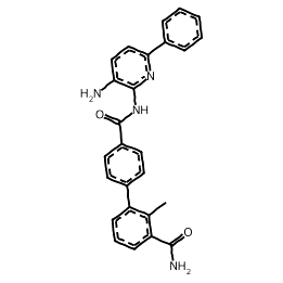 Cc1c(C(N)=O)cccc1-c1ccc(C(=O)Nc2nc(-c3ccccc3)ccc2N)cc1